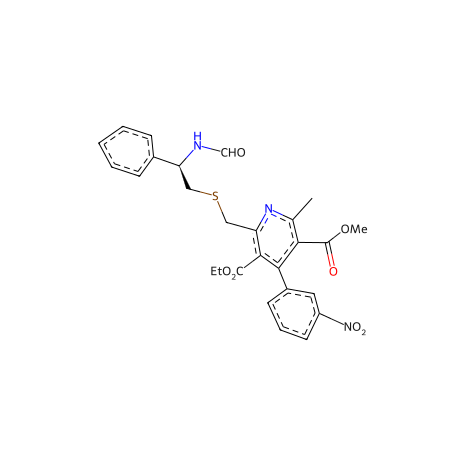 CCOC(=O)c1c(CSC[C@H](NC=O)c2ccccc2)nc(C)c(C(=O)OC)c1-c1cccc([N+](=O)[O-])c1